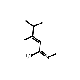 C/N=C(N)\C=C(/C)C(C)C